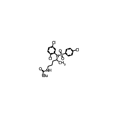 CC(CCCNC(=O)C(C)(C)C)N(c1cc(Cl)ccc1Cl)S(=O)(=O)c1ccc(Cl)cc1